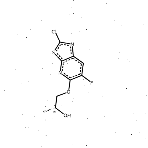 C[C@@H](O)COc1nc2sc(Cl)nc2cc1F